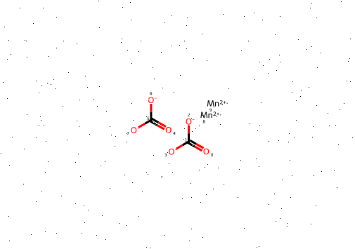 O=C([O-])[O-].O=C([O-])[O-].[Mn+2].[Mn+2]